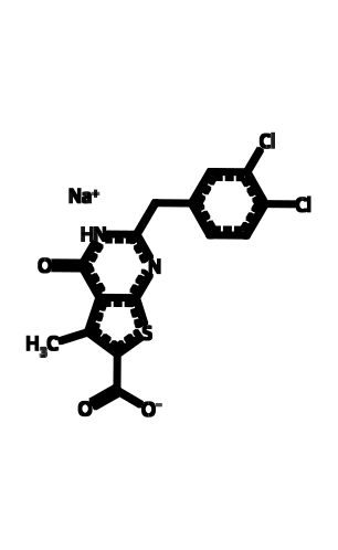 Cc1c(C(=O)[O-])sc2nc(Cc3ccc(Cl)c(Cl)c3)[nH]c(=O)c12.[Na+]